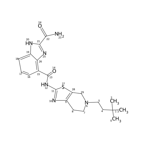 CC(C)(C)CCN1CCc2nc(NC(=O)c3cccc4[nH]c(C(N)=O)nc34)sc2C1